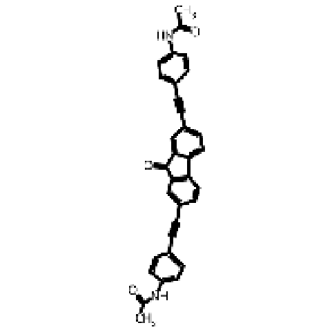 CC(=O)Nc1ccc(C#Cc2ccc3c(c2)C(=O)c2cc(C#Cc4ccc(NC(C)=O)cc4)ccc2-3)cc1